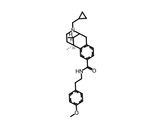 COc1ccc(CCNC(=O)c2ccc3c(c2)[C@@]2(C)CCN(CC4CC4)C(C3)[C@@H]2C)cc1